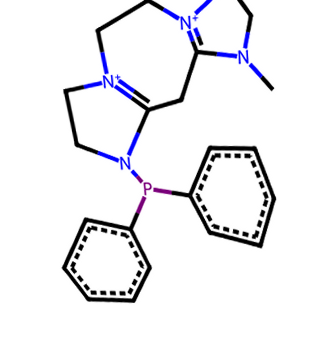 CN1CC[N+]2=C1CC1=[N+](CCN1P(c1ccccc1)c1ccccc1)CC2